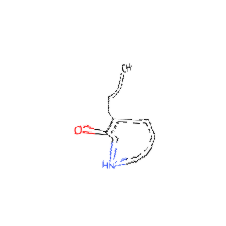 [CH]=Cc1ccc[nH]c1=O